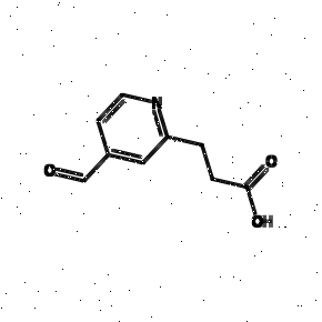 O=Cc1ccnc(CCC(=O)O)c1